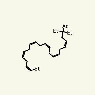 CC/C=C\C/C=C\C/C=C\C/C=C\C/C=C\C/C=C\CC(CC)(CC)C(C)=O